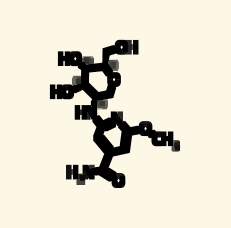 COc1cc(C(N)=O)cc(N[C@H]2CO[C@H](CO)[C@H](O)[C@@H]2O)n1